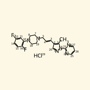 Cc1c(C=CCN2CCN(c3cc(F)ccc3F)CC2)cnn1-c1ncccn1.Cl